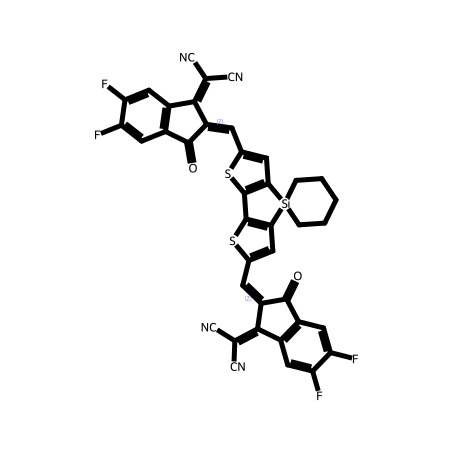 N#CC(C#N)=C1/C(=C/c2cc3c(s2)-c2sc(/C=C4\C(=O)c5cc(F)c(F)cc5C4=C(C#N)C#N)cc2[Si]32CCCCC2)C(=O)c2cc(F)c(F)cc21